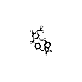 CCC(=O)CN1CCN(C(=O)[C@H]2CC[C@H](Cn3c(=O)n(C)c4ccc(OC)cc43)CC2)CC1=O